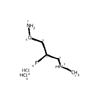 CNCC(F)CON.Cl.Cl